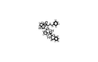 C[C@@H](NC(=O)C(F)(F)C(O)[C@@H]1CCCN1C(=O)[C@@H]1C[C@@H]2CCC[C@@H]2N1C(=O)CCCc1ccccc1)c1ccccc1